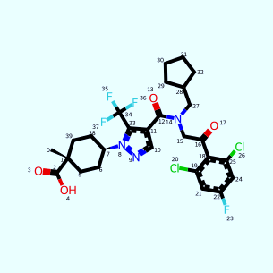 C[C@]1(C(=O)O)CC[C@H](n2ncc(C(=O)N(CC(=O)c3c(Cl)cc(F)cc3Cl)CC3CCCC3)c2C(F)(F)F)CC1